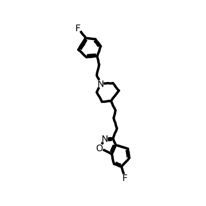 Fc1ccc(CCN2CCC(CCCc3noc4cc(F)ccc34)CC2)cc1